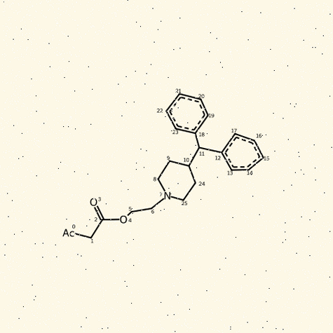 CC(=O)CC(=O)OCCN1CCC(C(c2ccccc2)c2ccccc2)CC1